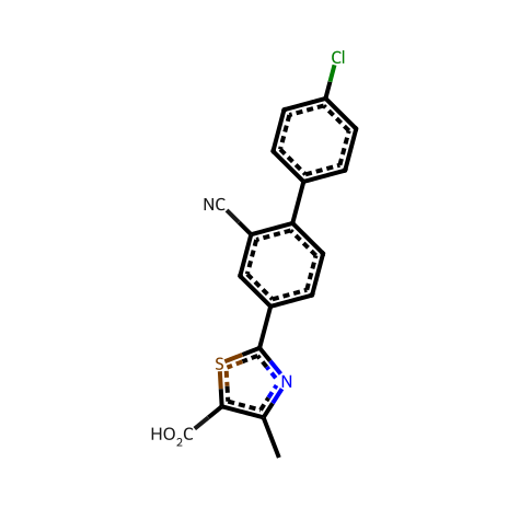 Cc1nc(-c2ccc(-c3ccc(Cl)cc3)c(C#N)c2)sc1C(=O)O